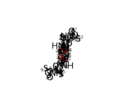 COC(=O)N[C@@H](CCSC)C(=O)N1CSC[C@H]1c1nc2cc(-c3cc4ccc3CCc3ccc(c(-c5ccc6[nH]c([C@@H]7CSCN7C(=O)[C@H](CCSC)NC(=O)OC)nc6c5)c3)C[C@H]4C)ccc2[nH]1